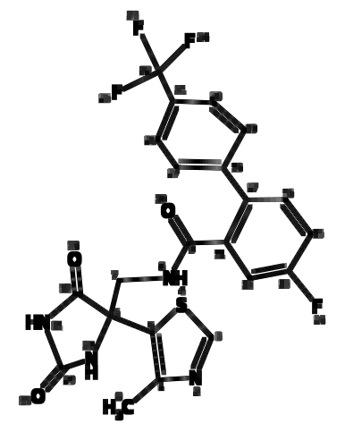 Cc1ncsc1C1(CNC(=O)c2cc(F)ccc2-c2ccc(C(F)(F)F)cc2)NC(=O)NC1=O